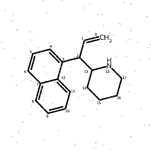 C=CC(c1cccc2ccccc12)C1CCCCN1